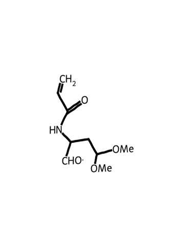 C=CC(=O)NC([C]=O)CC(OC)OC